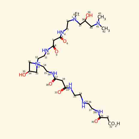 CCN(CCNC(=O)CC(=O)NCC[N+]1(CCNC(=O)CC(=O)NCCNCCNC(=O)CC(=O)O)CC(O)C1)CC(O)CN(C)C